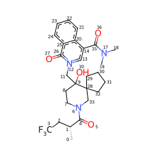 C[C@H](CC(F)(F)F)C(=O)N1CCC(O)(Cn2cc(C(=O)N(C)C)c3ccccc3c2=O)C2(CCCC2)C1